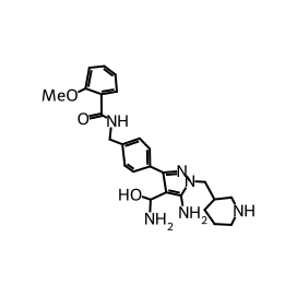 COc1ccccc1C(=O)NCc1ccc(-c2nn(CC3CCCNC3)c(N)c2C(N)O)cc1